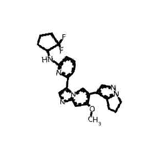 COc1cc2ncc(-c3cccc(NC4CCCC4(F)F)n3)n2cc1-c1cnn2c1CCC2